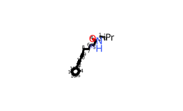 CC(C)CNC(=O)/C=C/CCC#CC#Cc1ccccc1